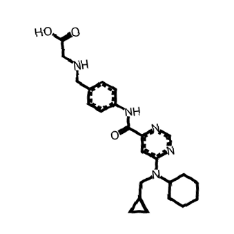 O=C(O)CNCc1ccc(NC(=O)c2cc(N(CC3CC3)C3CCCCC3)ncn2)cc1